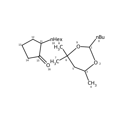 CCCCC1OC(C)CC(C)(C)O1.CCCCCCC1CCCC1=O